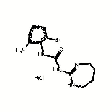 Cc1cccc(Br)c1NC(=O)NC1=NCCCCN1.Cl